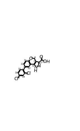 O=C(O)c1n[nH]c2c1COc1ccc(-c3ccc(Cl)cc3Cl)cc1-2